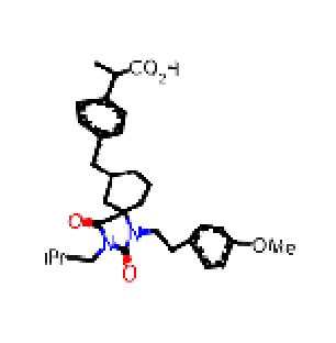 COc1ccc(CCN2C(=O)N(CC(C)C)C(=O)C23CCCC(Cc2ccc(C(C)C(=O)O)cc2)C3)cc1